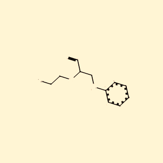 NCCSC([C]=S)CSc1ccccc1